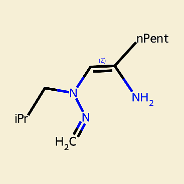 C=NN(/C=C(\N)CCCCC)CC(C)C